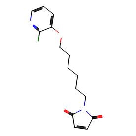 O=C1C=CC(=O)N1CCCCCCOc1cccnc1[18F]